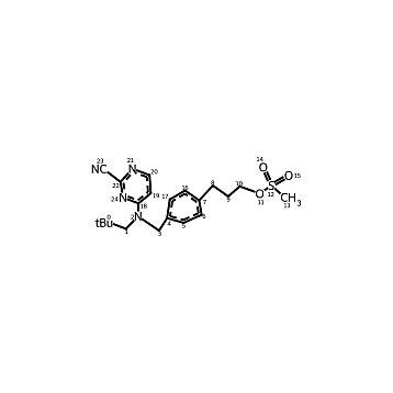 CC(C)(C)CN(Cc1ccc(CCCOS(C)(=O)=O)cc1)c1ccnc(C#N)n1